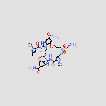 CCn1nc(C)cc1C(=O)Nc1nc2cc(C(N)=O)cc(OCCCNS(=O)(=O)CCN)c2n1CCC[C@H]1COc2cc(C(N)=O)cc3nc(NC(=O)c4cc(C)nn4CC)n1c23